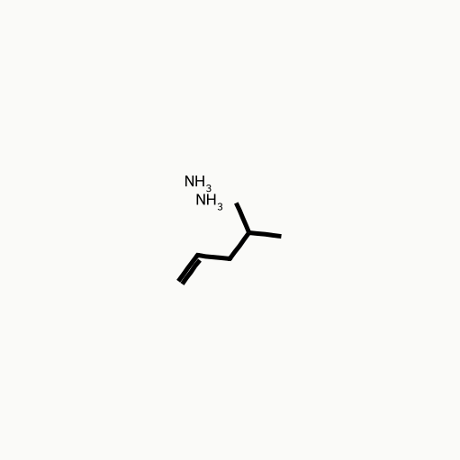 C=CCC(C)C.N.N